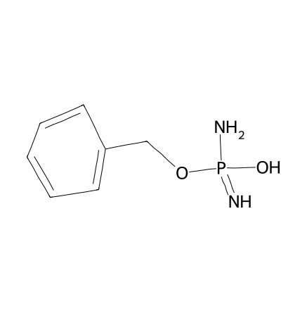 N=P(N)(O)OCc1ccccc1